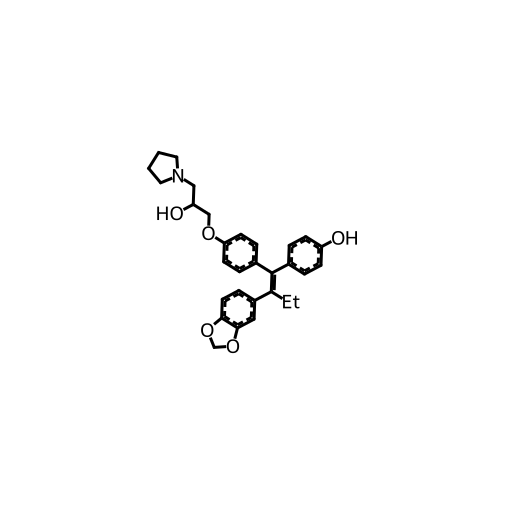 CCC(=C(c1ccc(O)cc1)c1ccc(OCC(O)CN2CCCC2)cc1)c1ccc2c(c1)OCO2